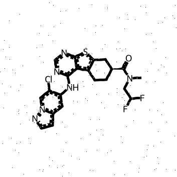 CN(CC(F)F)C(=O)[C@H]1CCc2c(sc3ncnc(Nc4cc5ccnn5cc4Cl)c23)C1